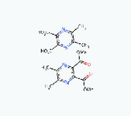 COC(=O)c1nc(C)c(C)nc1C(=O)OC.Cc1nc(C(=O)O)c(C(=O)O)nc1C